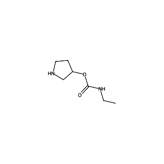 CCNC(=O)OC1CCNC1